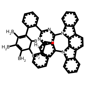 BC1=C(B)C(B)C(B)C(c2ccccc2-c2nc(-c3ccccc3)nc(-n3c4ccccc4c4ccc5c6ccccc6n(-c6ccccc6)c5c43)n2)=C1B